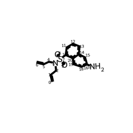 C=CCN(CC=C)S(=O)(=O)c1cccc2cc(N)ccc12